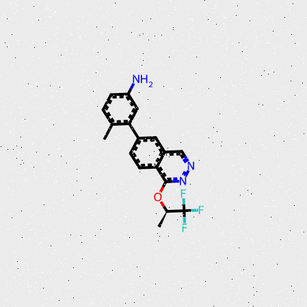 Cc1ccc(N)cc1-c1ccc2c(O[C@H](C)C(F)(F)F)nncc2c1